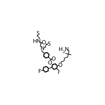 CCc1cc(-c2ccc(F)cc2)c(OC(=O)c2ccc(CN(CC=S)CC(=O)NCC=S)cc2)cc1OCCCCC(C)(C)CN